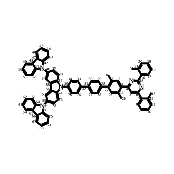 Cc1cc(-c2cc(-c3ccccc3C)nc(-c3ccccc3C)n2)c(C)cc1-c1ccc(-c2ccc(-n3c4ccc(-n5c6ccccc6c6ccccc65)cc4c4cc(-n5c6ccccc6c6ccccc65)ccc43)cc2)cc1